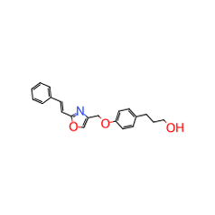 OCCCc1ccc(OCc2coc(C=Cc3ccccc3)n2)cc1